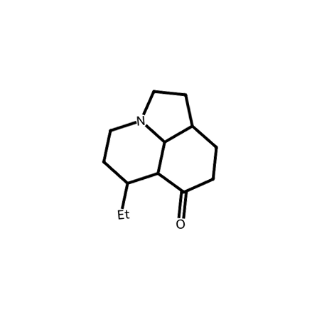 CCC1CCN2CCC3CCC(=O)C1C32